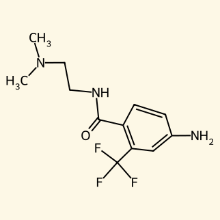 CN(C)CCNC(=O)c1ccc(N)cc1C(F)(F)F